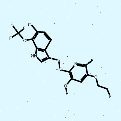 FCCOc1cc(OF)c(NSc2c[nH]c3c(OC(F)(F)F)c(Cl)ccc23)nc1F